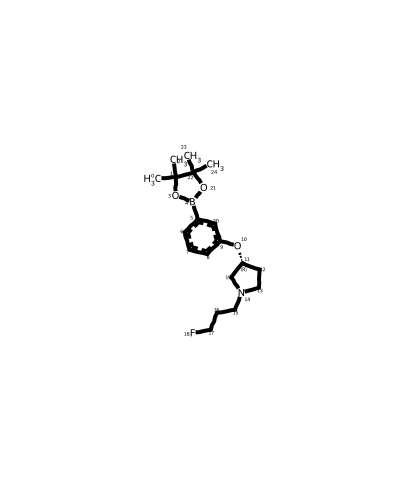 CC1(C)OB(c2cccc(O[C@@H]3CCN(CCCF)C3)c2)OC1(C)C